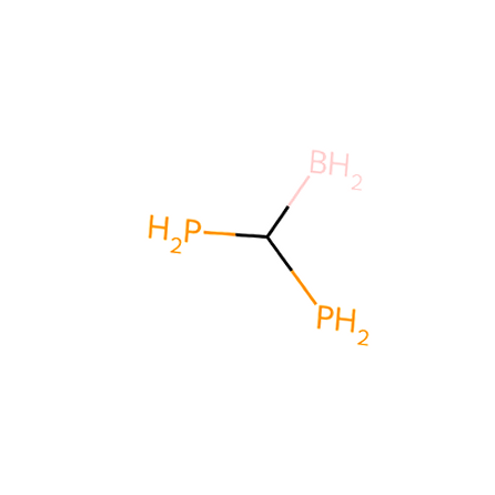 BC(P)P